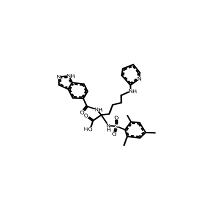 Cc1cc(C)c(S(=O)(=O)NC(CCCCNc2ccccn2)(NC(=O)c2ccc3[nH]ncc3c2)C(=O)O)c(C)c1